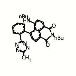 CCCCNc1ccc2c3c(ccc(-c4ccccc4-c4nnc(C)nn4)c13)C(=O)N(CCCC)C2=O